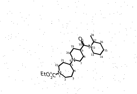 CCOC(=O)N1CCCC(N2CCC(C(=O)N3CCCCC3C)CC2)CC1